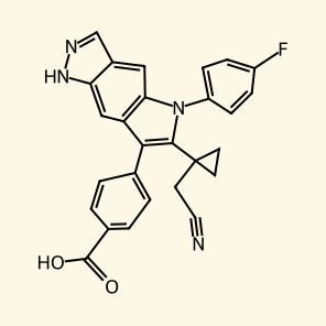 N#CCC1(c2c(-c3ccc(C(=O)O)cc3)c3cc4[nH]ncc4cc3n2-c2ccc(F)cc2)CC1